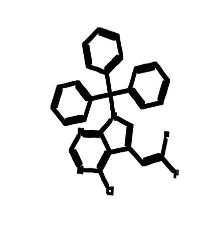 FC(F)=Cc1cn(C(c2ccccc2)(c2ccccc2)c2ccccc2)c2ncnc(Cl)c12